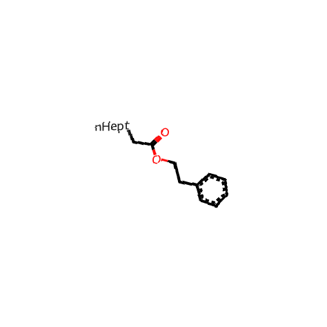 CCCCCCCCC(=O)OCCc1ccccc1